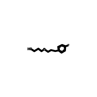 OCCCOCCCc1ccc(F)cc1